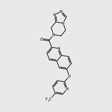 O=C(c1ccc2cc(Oc3ccc(C(F)(F)F)cn3)ccc2n1)N1CCn2cnnc2C1